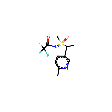 Cc1ccc(C(C)S(C)(=O)=NC(=O)C(F)(F)F)cn1